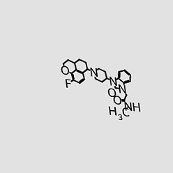 CNC(=O)Cn1c(=O)n(C2CCN(C3CCC4CCOc5c(F)ccc3c54)CC2)c2ccccc21